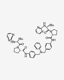 CC(C)(C)[C@H](Nc1ncccn1)C(=O)N1CCC[C@H]1C(=O)Nc1ccc(CN(Cc2ccc(NC(=O)[C@@H]3CCCN3C(=O)[C@@H](Nc3ncccn3)C(C)(C)C)cc2)c2ccccc2)cc1